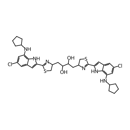 OC(CC1CSC(c2cc3cc(Cl)cc(NC4CCCC4)c3[nH]2)=N1)C(O)CC1CSC(c2cc3cc(Cl)cc(NC4CCCC4)c3[nH]2)=N1